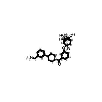 NCc1cccc(C2CCN(C(=O)c3cccc(O[C@H]4CC5CCC4[C@H](O)[C@@H]5O)c3)CC2)c1